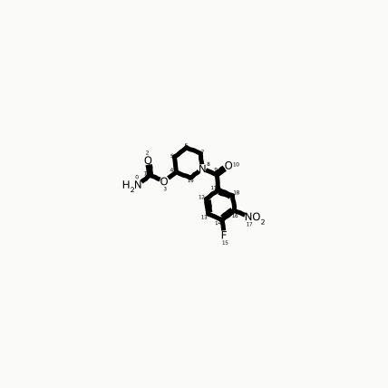 NC(=O)OC1CCCN(C(=O)c2ccc(F)c([N+](=O)[O-])c2)C1